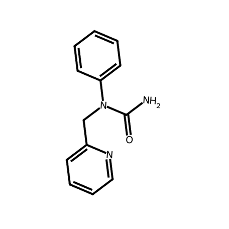 NC(=O)N(Cc1ccccn1)c1ccccc1